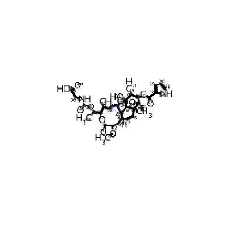 CO[C@H]1C[C@H]2C=C[C@]3(C)[C@H]4[C@H](O)[C@@H](C)[C@@H](OC(=O)c5ccc[nH]5)[C@@H]3O[C@@]24/C(C)=C/[C@@H](C)[C@@H]([C@@H](C)OC(=O)NCC(=O)O)OC1=O